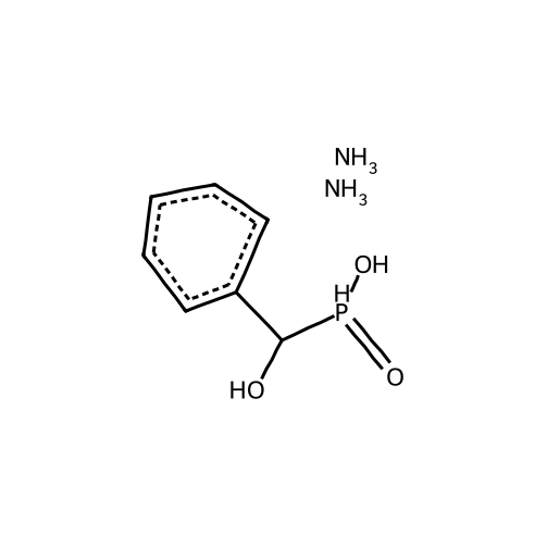 N.N.O=[PH](O)C(O)c1ccccc1